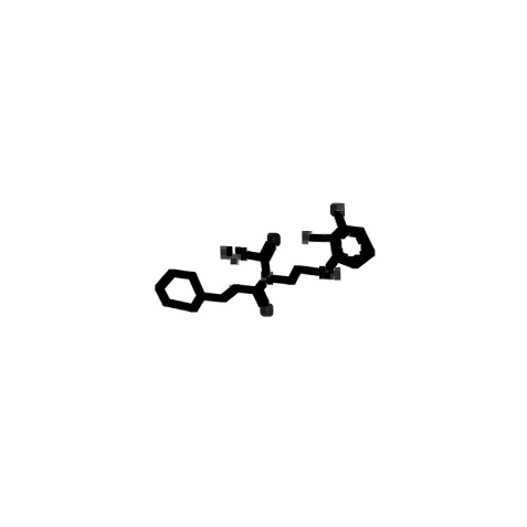 NC(=O)N(CCNc1cccc(Cl)c1F)C(=O)[CH]CC1CCCCC1